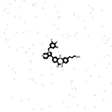 O=C1Nc2ccc(CCCO)cc2Nc2cc(-c3cn(Cc4cc(F)c(F)c(F)c4)c4cnccc34)ccc21